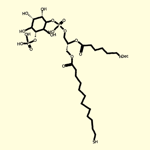 CCCCCCCCCCCCCCCC(=O)O[C@H](COC(=O)CCCCCCCCCCCS)COP(=O)(O)OC1C(O)[C@H](OP(=O)(O)O)C(O)[C@H](O)[C@@H]1O